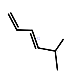 C=C/C=C/[C](C)C